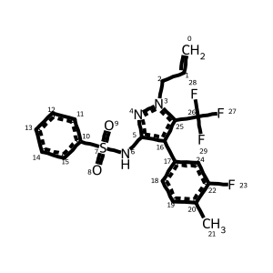 C=CCn1nc(NS(=O)(=O)c2ccccc2)c(-c2ccc(C)c(F)c2)c1C(F)(F)F